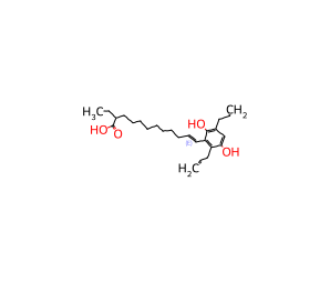 C=CCc1cc(O)c(CC=C)c(/C=C/CCCCCCCCC(CC)C(=O)O)c1O